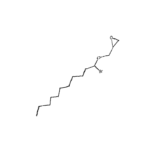 CCCCCCCCCCC(Br)OCC1CO1